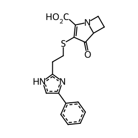 O=C(O)C1=C(SCCc2nc(-c3ccccc3)c[nH]2)C(=O)C2CCN12